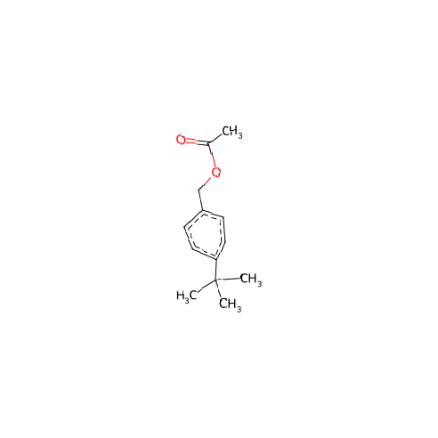 CC(=O)OCc1ccc(C(C)(C)C)cc1